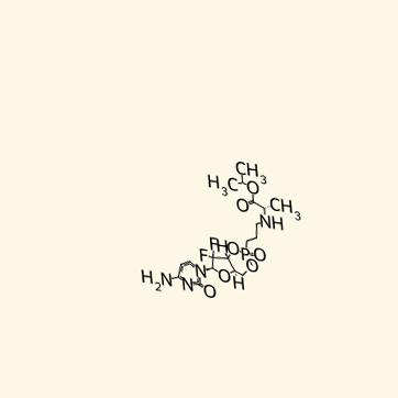 CC(C)OC(=O)[C@H](C)NCCCP1(=O)OC[C@H]2O[C@@H](n3ccc(N)nc3=O)C(F)(F)[C@@H]2O1